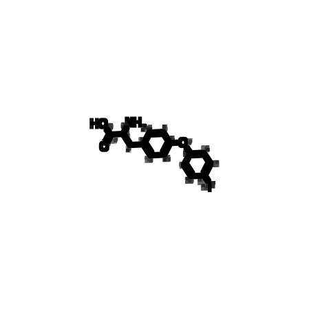 NC(Cc1ccc(Oc2ccc(F)cc2)cc1)C(=O)O